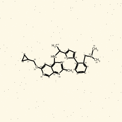 Cc1nc(NC(C)c2ccc(-c3ccccc3CN(C)C)s2)c2cc(OCC3CC3)ncc2n1